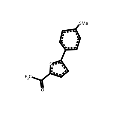 CSc1ccc(-c2ccc(C(=O)C(F)(F)F)s2)cc1